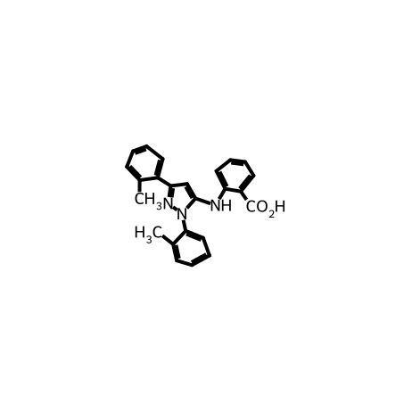 Cc1ccccc1-c1cc(Nc2ccccc2C(=O)O)n(-c2ccccc2C)n1